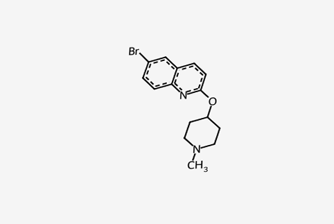 CN1CCC(Oc2ccc3cc(Br)ccc3n2)CC1